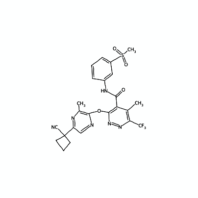 Cc1nc(C2(C#N)CCC2)cnc1Oc1nnc(C(F)(F)F)c(C)c1C(=O)Nc1cccc(S(C)(=O)=O)c1